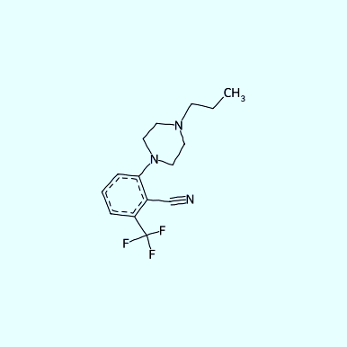 CCCN1CCN(c2cccc(C(F)(F)F)c2C#N)CC1